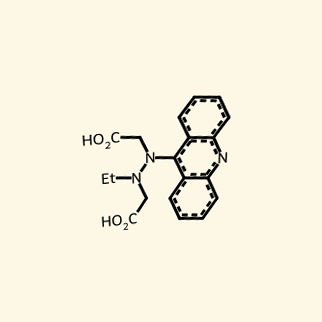 CCN(CC(=O)O)N(CC(=O)O)c1c2ccccc2nc2ccccc12